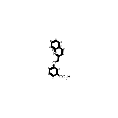 O=C(O)c1cccc(OCc2ccc3ccccc3n2)c1